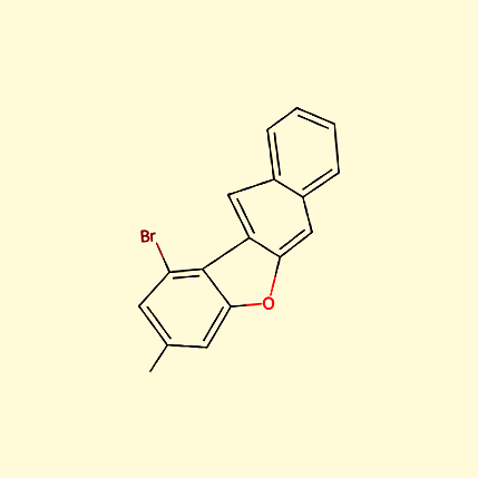 Cc1cc(Br)c2c(c1)oc1cc3ccccc3cc12